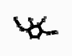 [C-]#[N+]c1ccc(N=C=S)c(F)c1Cl